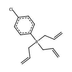 C=CC[B-](CC=C)(CC=C)c1ccc(Cl)cc1